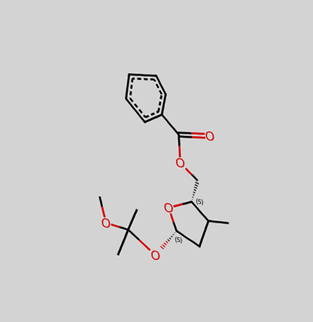 COC(C)(C)O[C@H]1CC(C)[C@@H](COC(=O)c2ccccc2)O1